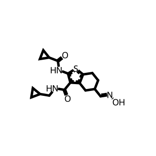 O=C(NCC1CC1)c1c(NC(=O)C2CC2)sc2c1CC(/C=N/O)CC2